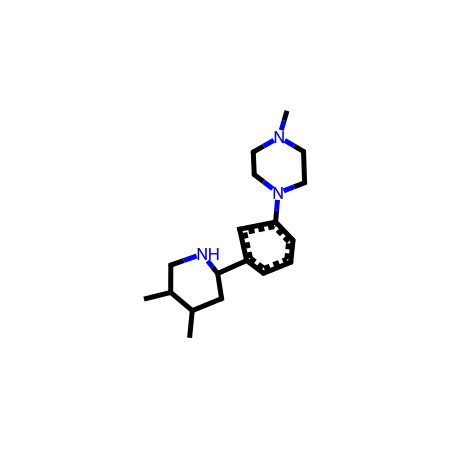 CC1CNC(c2cccc(N3CCN(C)CC3)c2)CC1C